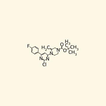 C=C1CN(C(=O)OC(C)(C)C)CCN1c1cc(-c2ccc(F)cc2)nc(Cl)n1